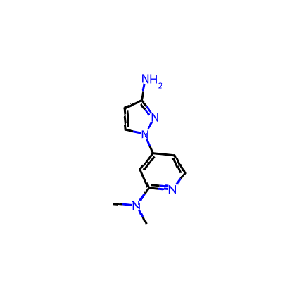 CN(C)c1cc(-n2ccc(N)n2)ccn1